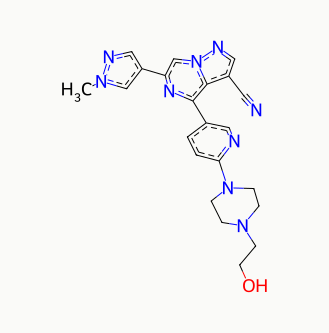 Cn1cc(-c2cn3ncc(C#N)c3c(-c3ccc(N4CCN(CCO)CC4)nc3)n2)cn1